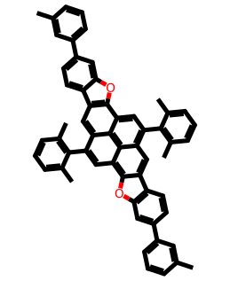 Cc1cccc(-c2ccc3c(c2)oc2c3cc3c(-c4c(C)cccc4C)cc4c5oc6cc(-c7cccc(C)c7)ccc6c5cc5c(-c6c(C)cccc6C)cc2c3c54)c1